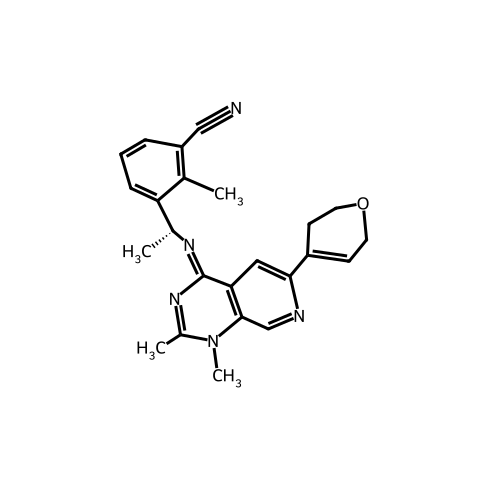 Cc1c(C#N)cccc1[C@@H](C)/N=c1\nc(C)n(C)c2cnc(C3=CCOCC3)cc12